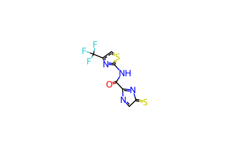 O=C(Nc1nc(C(F)(F)F)cs1)C1=NC(=S)C=N1